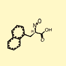 O=N[C@H](Cc1cccc2ccccc12)C(=O)O